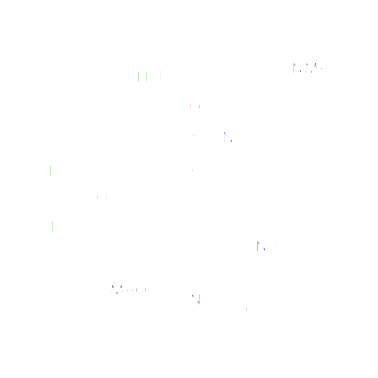 CNCc1cn(S(=O)(=O)c2cccc(OC(F)F)c2)c2cc(Nc3ccc(OC)nc3Cl)ccc12.Cl